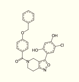 O=C(c1ccc(OCc2ccccc2)cc1)N1CCc2noc(-c3cc(Cl)c(O)cc3O)c2C1